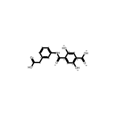 O=C(O)Cc1cccc(NC(=O)c2cc(O)c(C(=O)O)cc2O)c1